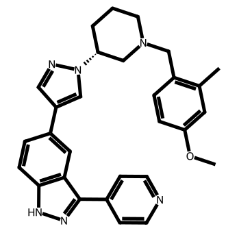 COc1ccc(CN2CCC[C@@H](n3cc(-c4ccc5[nH]nc(-c6ccncc6)c5c4)cn3)C2)c(C)c1